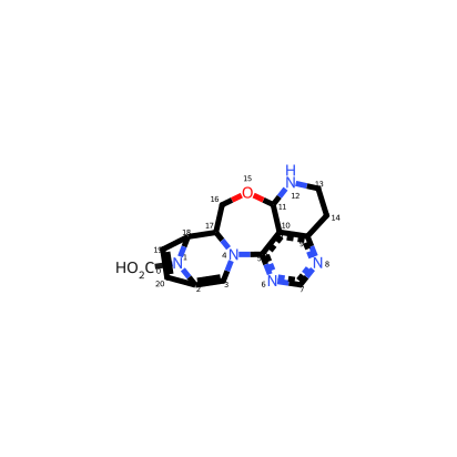 O=C(O)N1C2=CN3c4ncnc5c4C(NCC5)OCC3C1C=C2